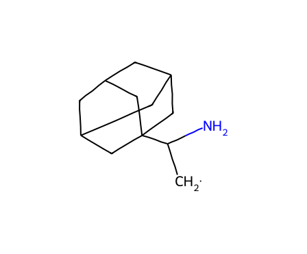 [CH2]C(N)C12CC3CC(CC(C3)C1)C2